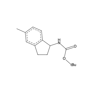 Cc1ccc2c(c1)CCC2NC(=O)OC(C)(C)C